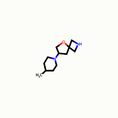 CC1CCN(C2COC3(CNC3)C2)CC1